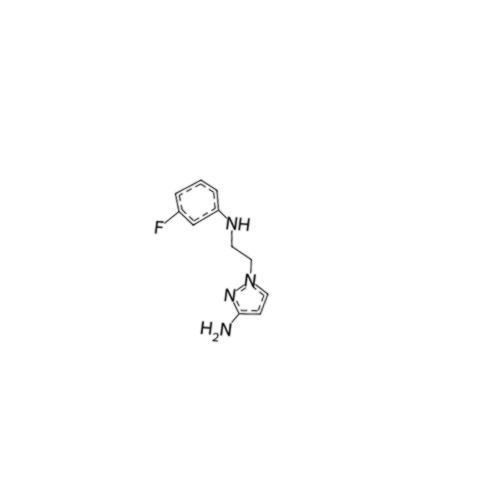 Nc1ccn(CCNc2cccc(F)c2)n1